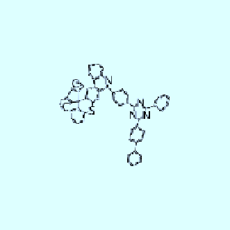 c1ccc(-c2ccc(-c3nc(-c4ccccc4)nc(-c4ccc(-c5nc6ccccc6c6cc7c(cc56)Sc5ccccc5C75c6ccccc6-c6ccccc65)cc4)n3)cc2)cc1